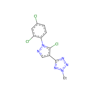 CCn1nnc(-c2cnn(-c3ccc(Cl)cc3Cl)c2Cl)n1